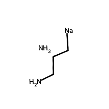 N.NCC[CH2][Na]